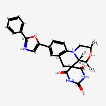 C[C@@H]1CN2c3ccc(-c4cnc(-c5ccccc5)o4)cc3CC3(C(=O)NC(=O)NC3=O)[C@H]2[C@H](C)O1